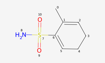 CC1=CCCC=C1S(N)(=O)=O